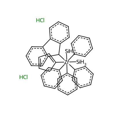 Cl.Cl.[SiH3][Zr]([SiH3])([C]1=CC=CC1)([c]1ccccc1)([c]1ccccc1)([c]1ccccc1)([c]1ccccc1)[CH]1c2ccccc2-c2ccccc21